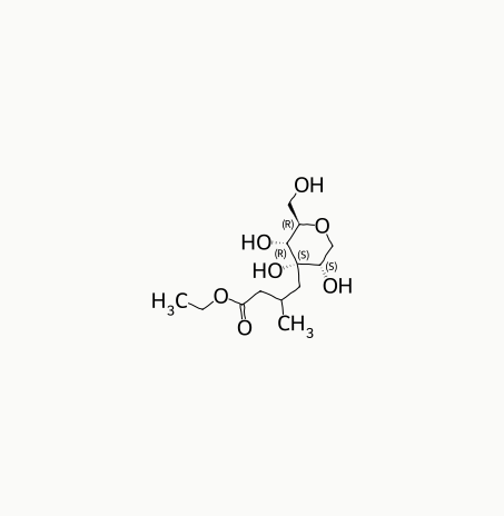 CCOC(=O)CC(C)C[C@@]1(O)[C@H](O)[C@@H](CO)OC[C@@H]1O